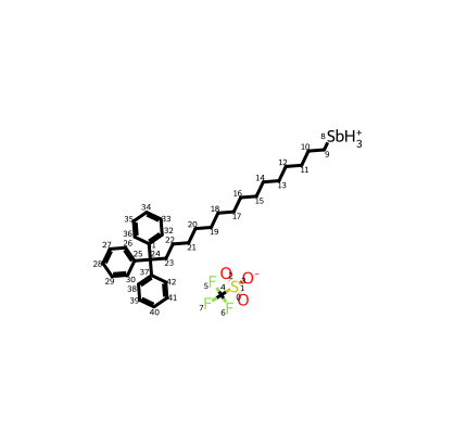 O=S(=O)([O-])C(F)(F)F.[SbH3+][CH2]CCCCCCCCCCCCCCC(c1ccccc1)(c1ccccc1)c1ccccc1